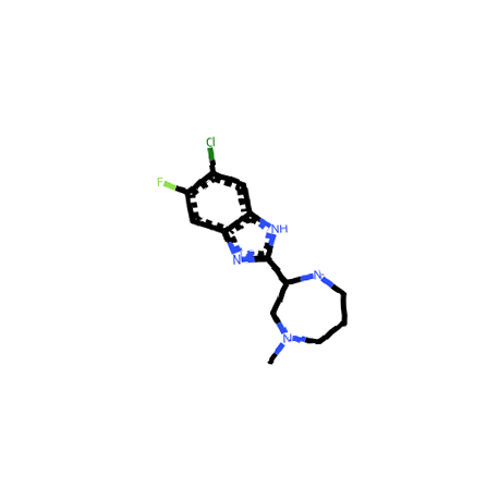 CN1CCC[N]C(c2nc3cc(F)c(Cl)cc3[nH]2)C1